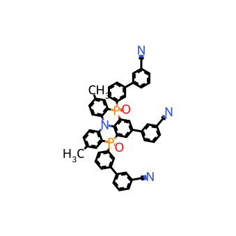 Cc1ccc2c(c1)P(=O)(c1cccc(-c3cccc(C#N)c3)c1)c1cc(-c3cccc(C#N)c3)cc3c1N2c1ccc(C)cc1P3(=O)c1cccc(-c2cccc(C#N)c2)c1